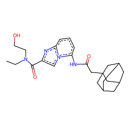 CCN(CCO)C(=O)c1cn2c(NC(=O)CC34CC5CC(CC(C5)C3)C4)cccc2n1